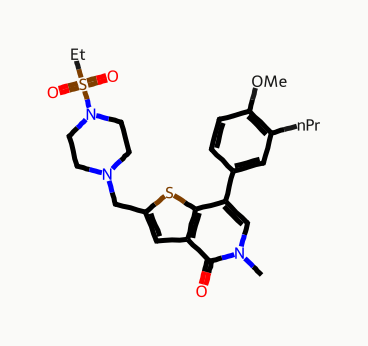 CCCc1cc(-c2cn(C)c(=O)c3cc(CN4CCN(S(=O)(=O)CC)CC4)sc23)ccc1OC